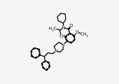 COc1ccc(N2CCN(CCC(c3ccccc3)c3ccccc3)CC2)cc1C(=O)N(C(C)C)C1CCCCC1